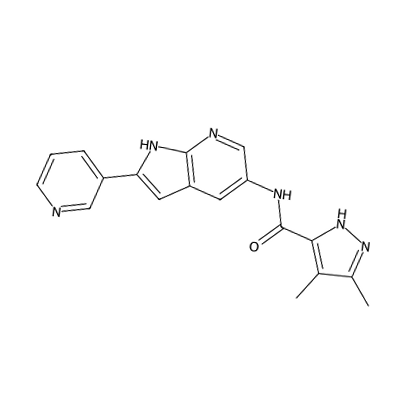 Cc1n[nH]c(C(=O)Nc2cnc3[nH]c(-c4cccnc4)cc3c2)c1C